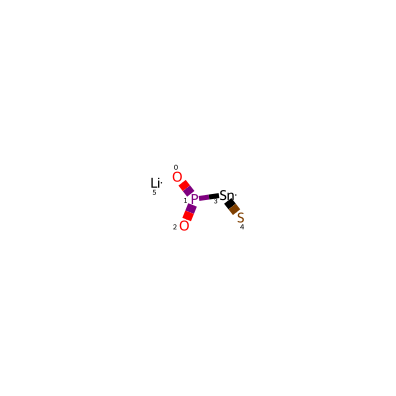 O=[P](=O)[Sn]=[S].[Li]